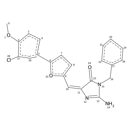 COc1ccc(-c2ccc(/C=C3/N=C(N)N(Cc4ccccc4)C3=O)o2)cc1Cl